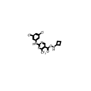 O=C(ONC1CCC1)c1cnc(Nc2cc(Cl)cc(Cl)c2)nc1C(F)(F)F